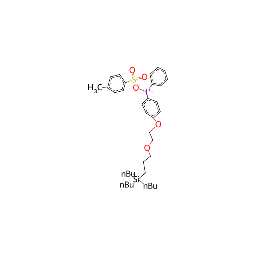 CCCC[Si](CCCC)(CCCC)CCCOCCOc1ccc([I+](OS(=O)(=O)c2ccc(C)cc2)c2ccccc2)cc1